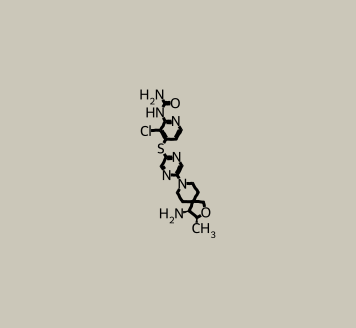 C[C@@H]1OCC2(CCN(c3cnc(Sc4ccnc(NC(N)=O)c4Cl)cn3)CC2)[C@@H]1N